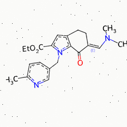 CCOC(=O)c1cc2c(n1Cc1ccc(C)nc1)C(=O)/C(=C/N(C)C)CC2